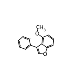 COc1cccc2occ(-c3[c]cccc3)c12